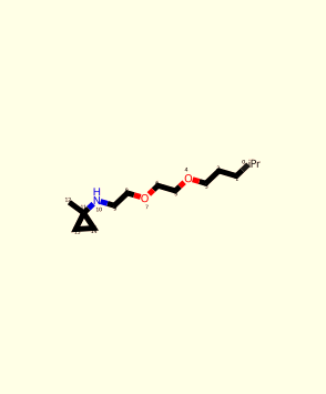 CC(C)CCCOCCOCCNC1(C)CC1